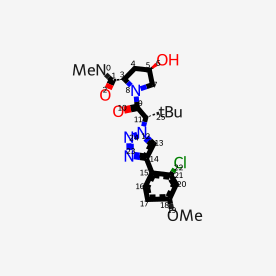 CNC(=O)[C@@H]1C[C@@H](O)CN1C(=O)[C@@H](n1cc(-c2ccc(OC)cc2Cl)nn1)C(C)(C)C